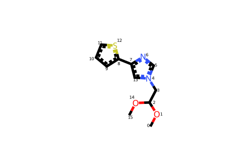 COC(Cn1cnc(-c2cccs2)c1)OC